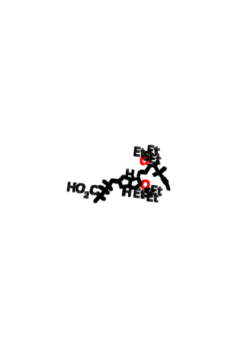 CC#CC(C)(C)C(C)[C@@H](/C=C/[C@H]1C(O[Si](CC)(CC)CC)C[C@@H]2C/C(=C\C(C)(C)C(C)(C)C(C)(C)C(=O)O)C[C@@H]21)O[Si](CC)(CC)CC